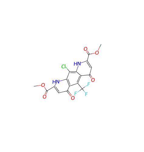 COC(=O)c1cc(=O)c2c(C(F)(F)F)c3c(=O)cc(C(=O)OC)[nH]c3c(Cl)c2[nH]1